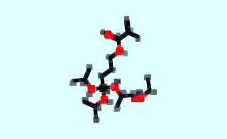 C=C(C)C(=O)OCCC[Si](OC(C)C)(OC(C)C)OC(C)C.CCO